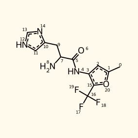 Cc1cc(NC(=O)C(N)Cc2c[nH]cn2)c(C(F)(F)F)o1